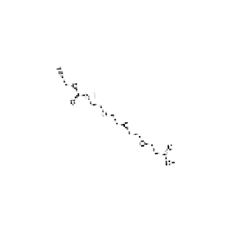 C#CCOC(=O)NCCOCCOCCOCCC(=O)O